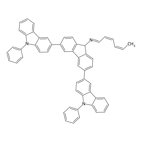 C\C=C/C=C\C=N\C1c2ccc(-c3ccc4c(c3)c3ccccc3n4-c3ccccc3)cc2-c2cc(-c3ccc4c(c3)c3ccccc3n4-c3ccccc3)ccc21